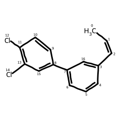 C/C=C\c1cccc(-c2ccc(Cl)c(Cl)c2)c1